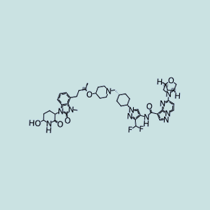 C[C@H](CCc1cccc2c1n(C)c(=O)n2C1CCC(O)NC1=O)OC1CCN(C[C@H]2CC[C@H](n3cc(NC(=O)c4cnn5ccc(N6C[C@H]7C[C@@H]6CO7)nc45)c(C(F)F)n3)CC2)CC1